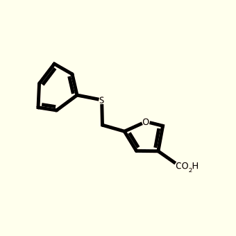 O=C(O)c1coc(CSc2ccccc2)c1